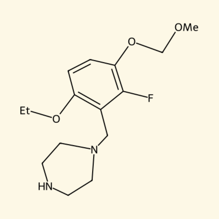 CCOc1ccc(OCOC)c(F)c1CN1CCNCC1